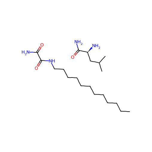 CC(C)C[C@H](N)C(N)=O.CCCCCCCCCCCCNC(=O)C(N)=O